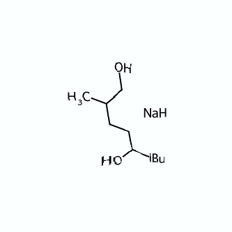 CCC(C)C(O)CCC(C)CO.[NaH]